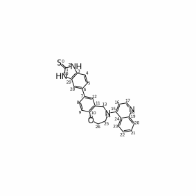 S=c1[nH]c2ccc(-c3ccc4c(c3)CN(c3ccnc5ccccc35)CCO4)cc2[nH]1